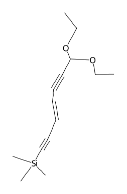 CCOC(C#CC=CC#C[Si](C)(C)C)OCC